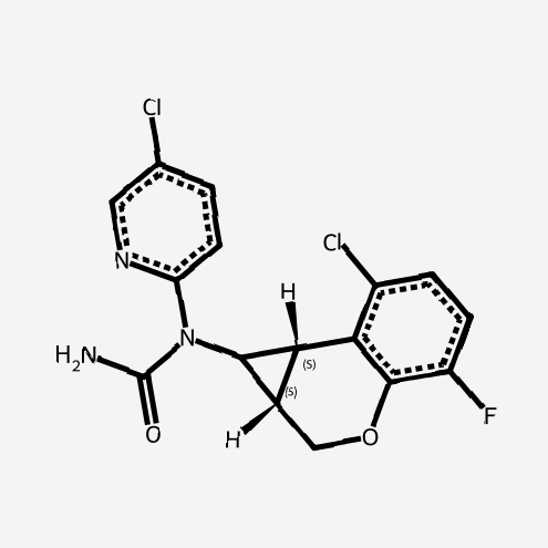 NC(=O)N(c1ccc(Cl)cn1)C1[C@H]2COc3c(F)ccc(Cl)c3[C@@H]12